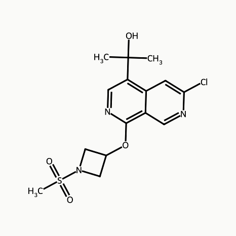 CC(C)(O)c1cnc(OC2CN(S(C)(=O)=O)C2)c2cnc(Cl)cc12